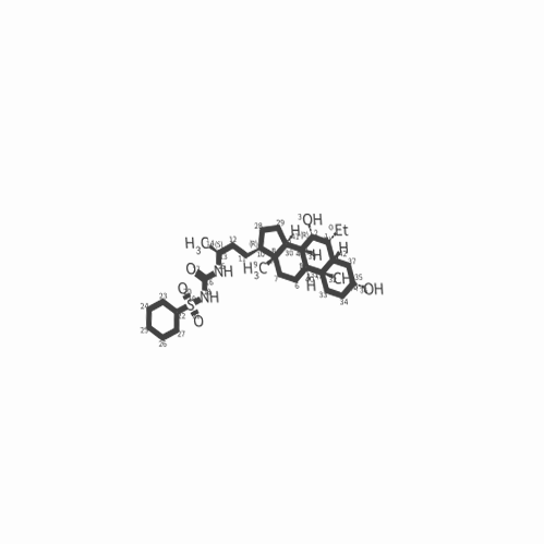 CC[C@H]1[C@@H](O)[C@@H]2[C@H](CC[C@]3(C)[C@@H](CC[C@H](C)NC(=O)NS(=O)(=O)C4CCCCC4)CC[C@@H]23)[C@@]2(C)CC[C@@H](O)C[C@@H]12